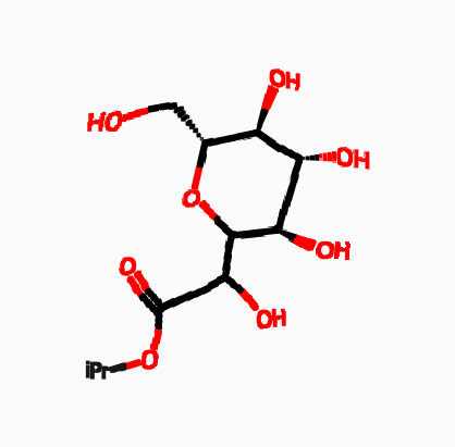 CC(C)OC(=O)C(O)C1O[C@H](CO)[C@@H](O)[C@H](O)[C@H]1O